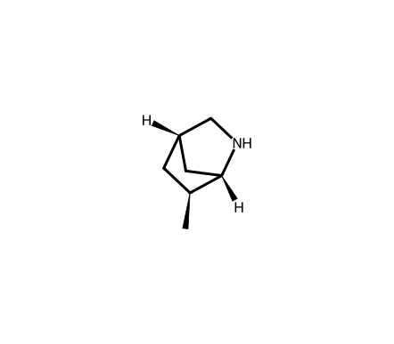 C[C@H]1C[C@@H]2CN[C@H]1C2